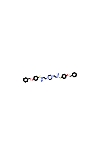 c1ccc(COc2ccc(SNCCN3CCN(CCNSc4ccc(OCc5ccccc5)cc4)CC3)cc2)cc1